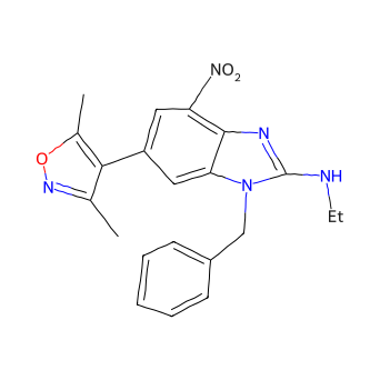 CCNc1nc2c([N+](=O)[O-])cc(-c3c(C)noc3C)cc2n1Cc1ccccc1